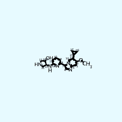 COc1cc2ncc(-c3cccc(NC4CNCC4O)n3)n2cc1C1CC1